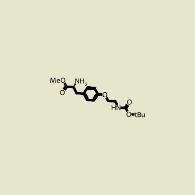 COC(=O)[C@@H](N)Cc1ccc(OCCNC(=O)OC(C)(C)C)cc1